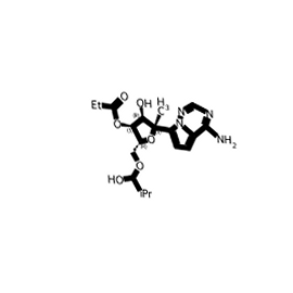 CCC(=O)O[C@H]1[C@@H](O)[C@](C)(c2ccc3c(N)ncnn23)O[C@@H]1COC(O)C(C)C